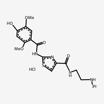 COc1cc(C(=O)Nc2nc(C(=O)NCCNC(C)C)cs2)c(OC)cc1O.Cl